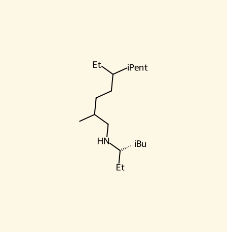 CCCC(C)C(CC)CCC(C)CNC(CC)[C@@H](C)CC